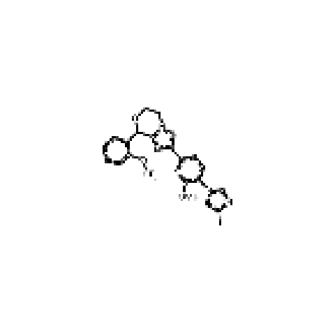 COc1nc(-c2nc3n(n2)CCOC3c2ccccc2OC(F)(F)F)ccc1-n1cnc(C)c1